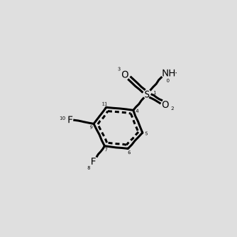 [NH]S(=O)(=O)c1ccc(F)c(F)c1